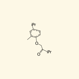 Cc1cc(C(C)C)ccc1OCC(=O)C(C)C